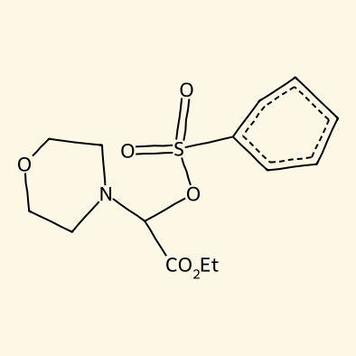 CCOC(=O)C(OS(=O)(=O)c1ccccc1)N1CCOCC1